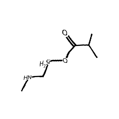 CNC[SiH2]OC(=O)C(C)C